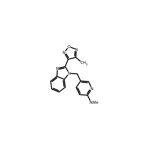 CNc1ccc(Cn2c(-c3nonc3C)nc3ccccc32)cn1